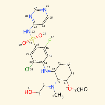 CN(CCO)[C@H]1C(OC=O)CCC[C@@H]1Nc1cc(F)c(S(=O)(=O)Nc2ccncn2)cc1Cl